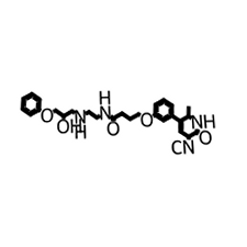 CC1NC(=O)C(C#N)C=C1c1cccc(OCCCC(=O)NCCNCC(O)COc2ccccc2)c1